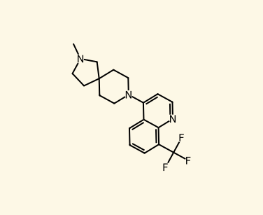 CN1CCC2(CCN(c3ccnc4c(C(F)(F)F)cccc34)CC2)C1